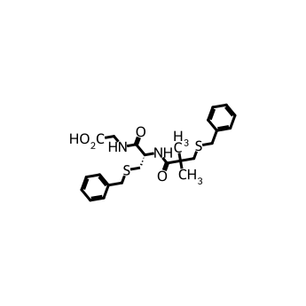 CC(C)(CSCc1ccccc1)C(=O)N[C@H](CSCc1ccccc1)C(=O)NCC(=O)O